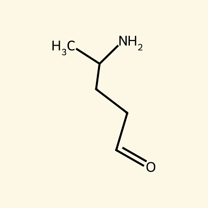 CC(N)CCC=O